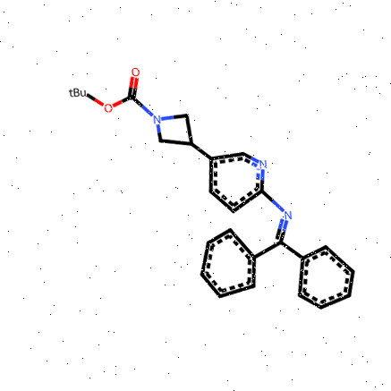 CC(C)(C)OC(=O)N1CC(c2ccc(N=C(c3ccccc3)c3ccccc3)nc2)C1